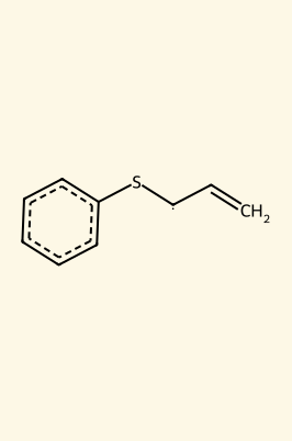 C=C[CH]Sc1ccccc1